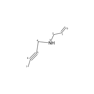 C=CCNCC#CC